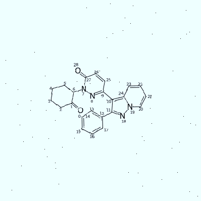 O=C1CCCCC1n1nc(-c2c(-c3ccccc3)nn3ccccc23)ccc1=O